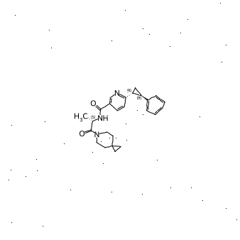 C[C@H](NC(=O)c1ccc([C@@H]2C[C@H]2c2ccccc2)nc1)C(=O)N1CCC2(CC1)CC2